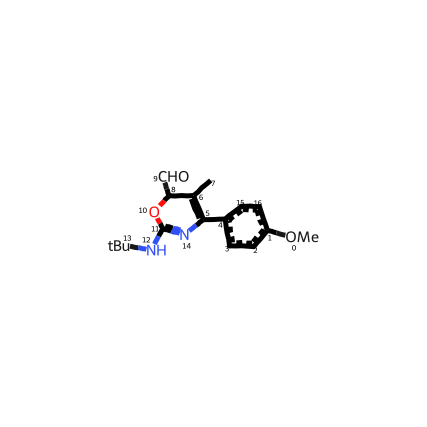 COc1ccc(C2=C(C)C(C=O)OC(NC(C)(C)C)=N2)cc1